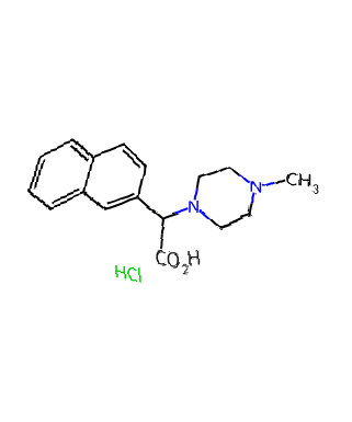 CN1CCN(C(C(=O)O)c2ccc3ccccc3c2)CC1.Cl